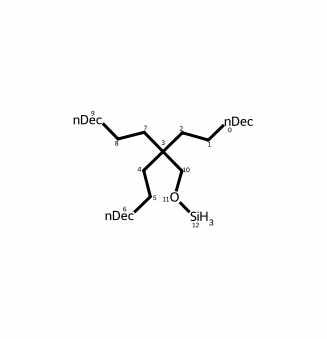 CCCCCCCCCCCCC(CCCCCCCCCCCC)(CCCCCCCCCCCC)CO[SiH3]